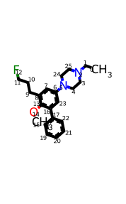 CCN1CCN(c2cc(CCCF)c(OC)c(-c3ccccc3)c2)CC1